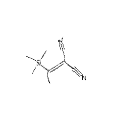 CC(=C(C#N)C#N)[Si](C)(C)C